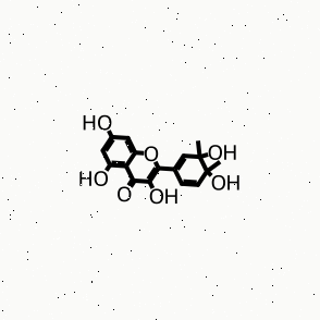 CC1(O)C=CC(c2oc3cc(O)cc(O)c3c(=O)c2O)=CC1(C)O